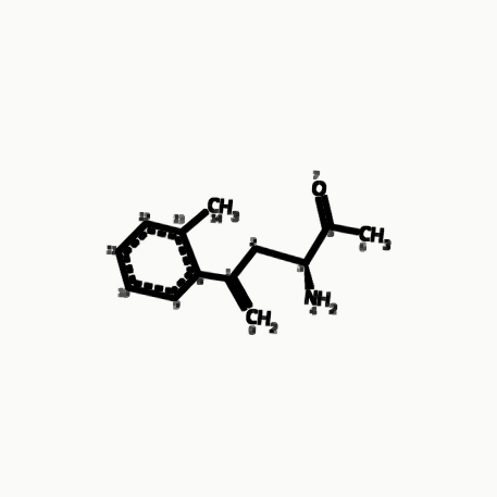 C=C(C[C@H](N)C(C)=O)c1ccccc1C